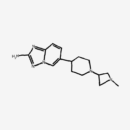 CN1CC(N2CCC(c3ccc4nc(N)nn4c3)CC2)C1